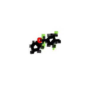 Cc1ccc(OC(F)(F)c2cc(F)c(C)c(F)c2)c(F)c1